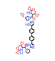 COC[C@H]1C[C@@H](c2ncc(-c3ccc(-c4ccc(-c5cnc([C@@H]6CC[C@H](C)N6C(=O)[C@@H](NC(=O)OC)[C@@H](C)OC)[nH]5)cc4)cc3)[nH]2)N(C(=O)[C@@H](NC(=O)OC)[C@@H](C)OC)C1